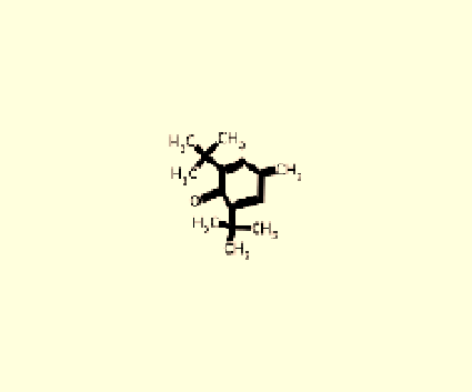 C=C1C=C(C(C)(C)C)C(=O)C(C(C)(C)C)=C1